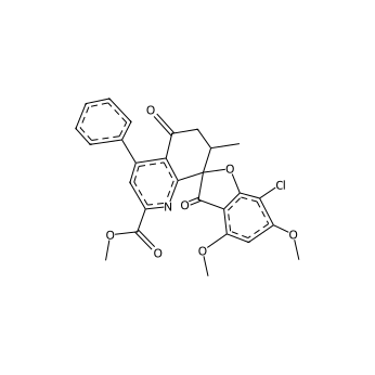 COC(=O)c1cc(-c2ccccc2)c2c(n1)C1(Oc3c(Cl)c(OC)cc(OC)c3C1=O)C(C)CC2=O